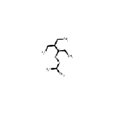 CCC(CC)[C@@H](CC)SSC(C)C